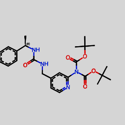 C[C@@H](NC(=O)NCc1ccnc(N(C(=O)OC(C)(C)C)C(=O)OC(C)(C)C)c1)c1ccccc1